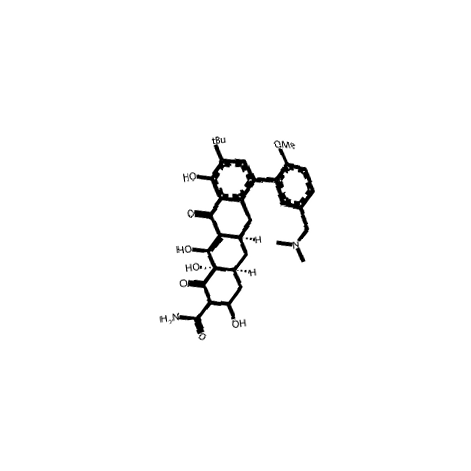 COc1ccc(CN(C)C)cc1-c1cc(C(C)(C)C)c(O)c2c1C[C@H]1C[C@H]3CC(O)C(C(N)=O)C(=O)[C@@]3(O)C(O)=C1C2=O